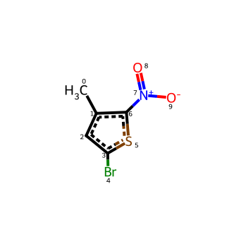 Cc1cc(Br)sc1[N+](=O)[O-]